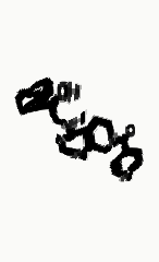 O=C(c1ccncc1)N1CCc2c(ncnc2NCC(O)C23CC4CC(CC(C4)C2)C3)C1